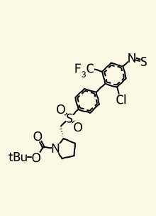 CC(C)(C)OC(=O)N1CCC[C@H]1CS(=O)(=O)c1ccc(-c2c(Cl)cc(N=S)cc2C(F)(F)F)cc1